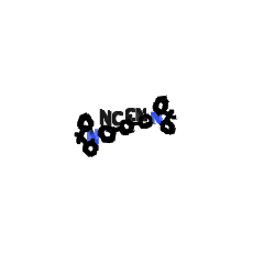 CC1(C)c2ccccc2N(c2ccc(-c3ccc(C4C=CC(N5c6ccccc6C(C)(C)c6ccccc65)CC4)c(C#N)c3C#N)cc2)c2ccccc21